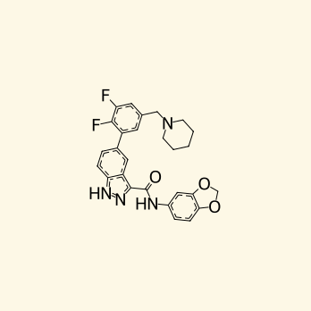 O=C(Nc1ccc2c(c1)OCO2)c1n[nH]c2ccc(-c3cc(CN4CCCCC4)cc(F)c3F)cc12